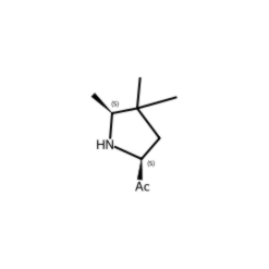 CC(=O)[C@@H]1CC(C)(C)[C@H](C)N1